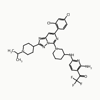 CC(C)N1CCC(c2nc3cc(-c4ccc(Cl)cc4Cl)nc(N4CCCC(Nc5ccc(C(=O)C(F)(F)F)c(N)n5)C4)n3n2)CC1